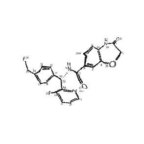 O=C1COc2cc(C(=O)N[C@@H](c3ccc(CF)cc3)c3ncccc3F)ccc2N1